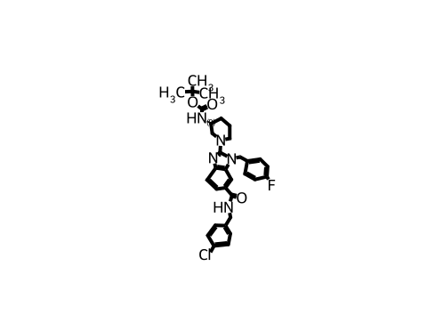 CC(C)(C)OC(=O)N[C@@H]1CCCN(c2nc3ccc(C(=O)NCc4ccc(Cl)cc4)cc3n2Cc2ccc(F)cc2)C1